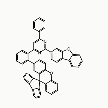 c1ccc(-c2cc(-c3ccccc3-c3ccc4c(c3)C3(c5ccccc5O4)c4ccccc4-c4ccccc43)nc(-c3ccc4c(c3)oc3ccccc34)n2)cc1